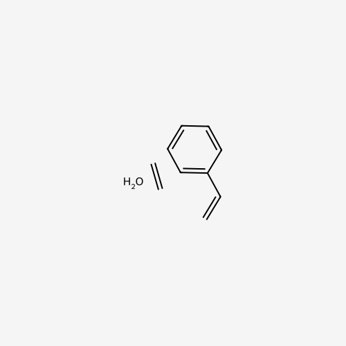 C=C.C=Cc1ccccc1.O